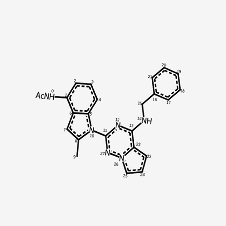 CC(=O)Nc1cccc2c1cc(C)n2-c1nc(NCc2ccccc2)c2cccn2n1